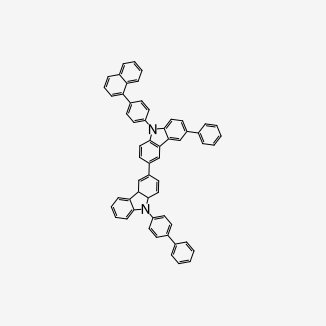 C1=CC2C(C=C1c1ccc3c(c1)c1cc(-c4ccccc4)ccc1n3-c1ccc(-c3cccc4ccccc34)cc1)c1ccccc1N2c1ccc(-c2ccccc2)cc1